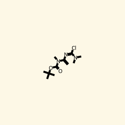 C=C(/N=C(/Cl)N(C)C)N(C)C(=O)OC(C)(C)C